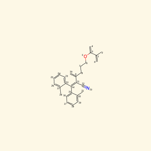 C=C(C)C(=C)OCCCC(=C)C(C#N)=C(c1ccccc1C)c1ccccc1C